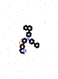 c1ccc(-c2ccc(N(c3ccc(-c4cccc5ccccc45)cc3)c3ccc4oc5cc6cccnc6cc5c4c3)cc2)cc1